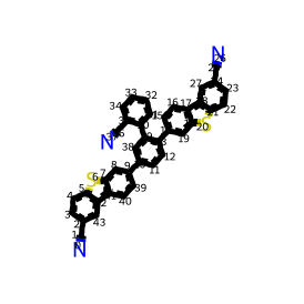 N#Cc1ccc2sc3cc(-c4ccc(-c5ccc6c(c5)sc5ccc(C#N)cc56)c(-c5ccccc5C#N)c4)ccc3c2c1